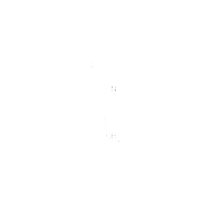 [CH2]c1ccc(F)nc1